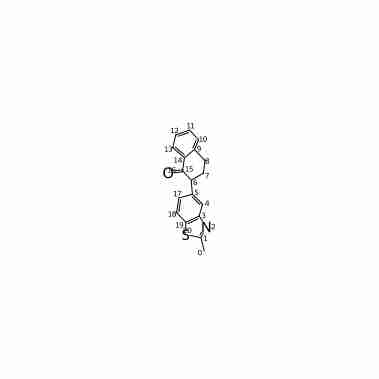 Cc1nc2cc(C3CCc4ccccc4C3=O)ccc2s1